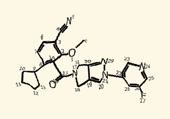 COc1c(C#N)ccc(C2CCCC2)c1C(=O)N1Cc2cn(-c3cncc(F)c3)nc2C1